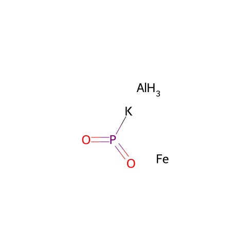 O=[P](=O)[K].[AlH3].[Fe]